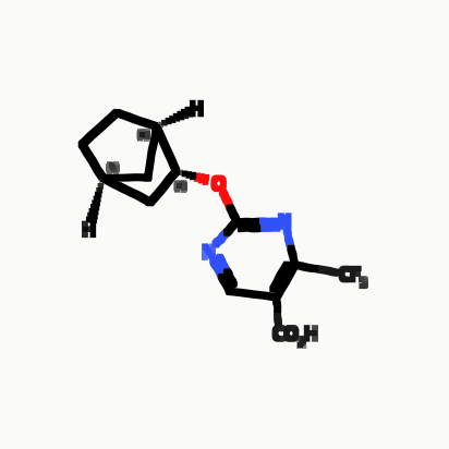 O=C(O)c1cnc(O[C@@H]2C[C@H]3CC[C@@H]2C3)nc1C(F)(F)F